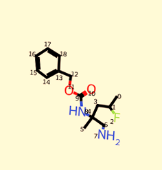 CC(F)CC(C)(CN)NC(=O)OCc1ccccc1